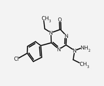 CCN(N)c1nc(-c2ccc(Cl)cc2)n(CC)c(=O)n1